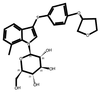 Cc1cccc2c(Sc3ccc(OC4CCOC4)cc3)cn([C@@H]3O[C@H](CO)[C@@H](O)[C@H](O)[C@H]3O)c12